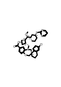 CO[C@@H]([C@H]1CCC[C@H](Sc2ncccn2)C1)[C@@H]1CC[C@H]1CN1C[C@@]2(CCCc3cc(Cl)ccc32)COc2ccc(C(=O)O)cc21